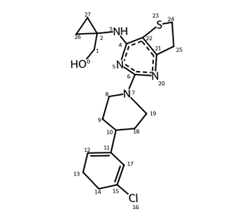 OCC1(Nc2nc(N3CCC(C4=CCCC(Cl)=C4)CC3)nc3c2SCC3)CC1